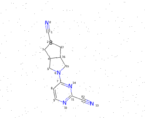 N#CB1CC2CN(c3ccnc(C#N)n3)CC2C1